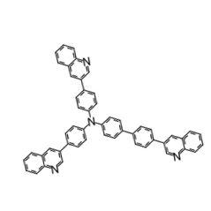 c1ccc2ncc(-c3ccc(-c4ccc(N(c5ccc(-c6cnc7ccccc7c6)cc5)c5ccc(-c6cnc7ccccc7c6)cc5)cc4)cc3)cc2c1